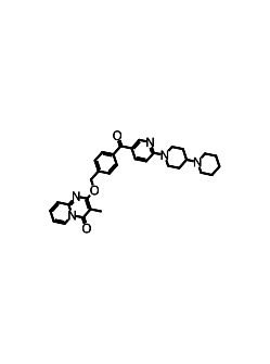 Cc1c(OCc2ccc(C(=O)c3ccc(N4CCC(N5CCCCC5)CC4)nc3)cc2)nc2ccccn2c1=O